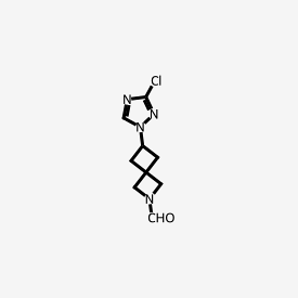 O=CN1CC2(CC(n3cnc(Cl)n3)C2)C1